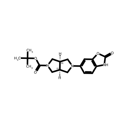 CC(C)(C)OC(=O)N1C[C@@H]2CN(c3ccc4[nH]c(=O)oc4c3)C[C@@H]2C1